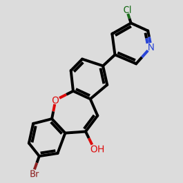 OC1=Cc2cc(-c3cncc(Cl)c3)ccc2Oc2ccc(Br)cc21